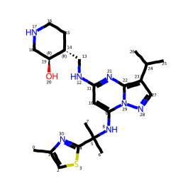 Cc1csc(C(C)(C)Nc2cc(NC[C@H]3CCNC[C@@H]3O)nc3c(C(C)C)cnn23)n1